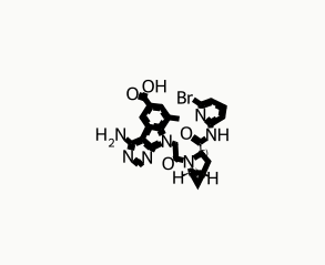 Cc1cc(C(=O)O)cc2c3c(N)ncnc3n(CC(=O)N3[C@@H]4C[C@@H]4C[C@H]3C(=O)Nc3cccc(Br)n3)c12